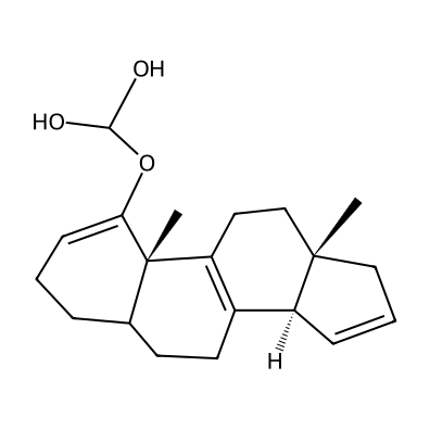 C[C@]12C(OC(O)O)=CCCC1CCC1=C2CC[C@]2(C)CC=C[C@@H]12